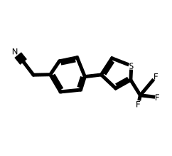 N#CCc1ccc(-c2csc(C(F)(F)F)c2)cc1